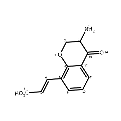 NC1COc2c(C=CC(=O)O)cccc2C1=O